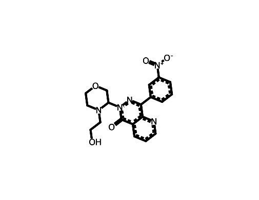 O=c1c2cccnc2c(-c2cccc([N+](=O)[O-])c2)nn1C1COCCN1CCO